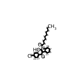 CCCCCCCCCC(=O)n1c(O)c(C(=O)c2ccc(Cl)cc2)c2ccccc21